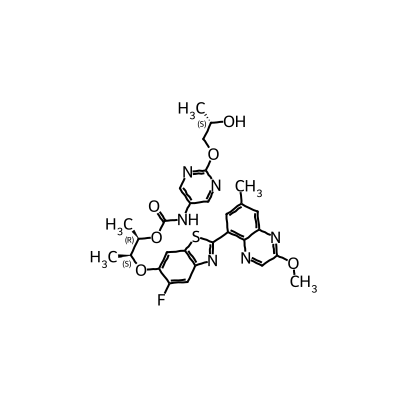 COc1cnc2c(-c3nc4cc(F)c(O[C@@H](C)[C@@H](C)OC(=O)Nc5cnc(OC[C@H](C)O)nc5)cc4s3)cc(C)cc2n1